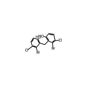 Oc1ccc(Cl)c(Br)c1Cc1c(O)ccc(Cl)c1Br